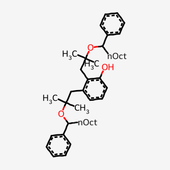 CCCCCCCCC(OC(C)(C)Cc1cccc(O)c1CC(C)(C)OC(CCCCCCCC)c1ccccc1)c1ccccc1